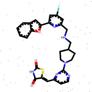 O=C1NC(=O)C(=Cc2ccnc(N3CCC(CNCc4cc(F)cc(-c5cc6ccccc6o5)n4)CC3)n2)S1